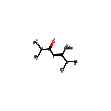 CCC(CC)/C(=C/C(=O)C(C(C)C)C(C)C)OC